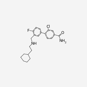 NC(=O)c1ccc(-c2ccc(F)c(CNCCC3CCCCC3)c2)c(Cl)c1